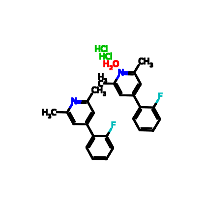 Cc1cc(-c2ccccc2F)cc(C)n1.Cc1cc(-c2ccccc2F)cc(C)n1.Cl.Cl.O